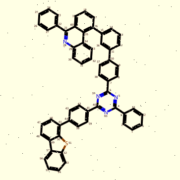 c1ccc(-c2nc(-c3ccc(-c4cccc(-c5cccc6c(-c7ccccc7)nc7ccccc7c56)c4)cc3)nc(-c3ccc(-c4cccc5c4sc4ccccc45)cc3)n2)cc1